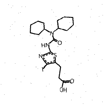 O=C(O)CCc1sc(NC(=O)N(C2CCCCC2)C2CCCCC2)nc1I